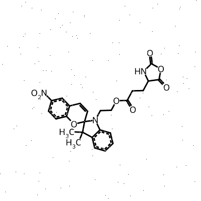 CC1(C)c2ccccc2N(CCOC(=O)CCC2NC(=O)OC2=O)C12C=Cc1cc([N+](=O)[O-])ccc1O2